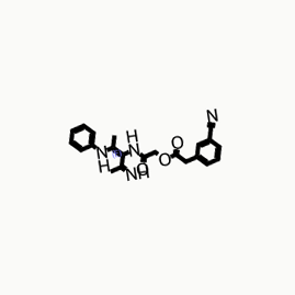 CC(=N)/C(NC(=O)COC(=O)Cc1cccc(C#N)c1)=C(/C)Nc1ccccc1